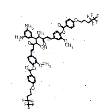 COc1cc(/C=C/C(=O)C(O)C(c2cc(N)cc(N)c2)C(O)C(=O)/C=C/c2ccc(OC(=O)c3ccc(OCCCC(F)(F)C(F)(F)F)cc3)c(OC)c2)ccc1OC(=O)c1ccc(OCCCC(F)(F)C(F)(F)F)cc1